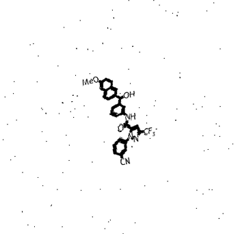 COc1ccc2cc(C(O)c3cccc(NC(=O)c4cc(C(F)(F)F)nn4-c4cccc(C#N)c4)c3)ccc2c1